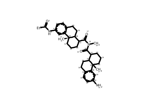 CCC(=O)Nc1ccc2c(c1)[C@@]1(C)CCCC(C(=O)N(C)C(=O)C3CCCC4(C)c5cc(N)ccc5CCC34)C1CC2